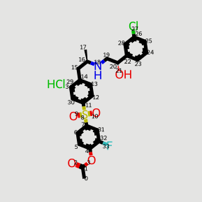 CC(=O)Oc1ccc(S(=O)(=O)c2ccc(C[C@@H](C)NC[C@@H](O)c3cccc(Cl)c3)cc2)cc1F.Cl